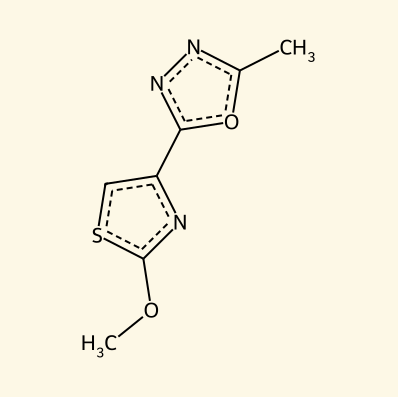 COc1nc(-c2nnc(C)o2)cs1